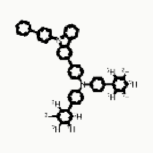 [2H]c1c([2H])c([2H])c(-c2ccc(N(c3ccc(-c4ccc5c(c4)c4ccccc4n5-c4ccc(-c5ccccc5)cc4)cc3)c3ccc(-c4c([2H])c([2H])c([2H])c([2H])c4[2H])cc3)cc2)c([2H])c1[2H]